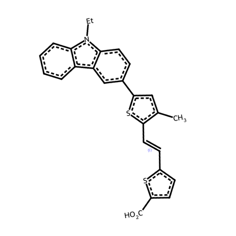 CCn1c2ccccc2c2cc(-c3cc(C)c(/C=C/c4ccc(C(=O)O)s4)s3)ccc21